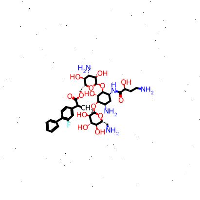 CC(C(=O)OC[C@H]1O[C@H](O[C@@H]2[C@@H](O)[C@H](O[C@H]3O[C@H](CN)[C@@H](O)[C@H](O)[C@H]3O)[C@@H](N)C[C@H]2NC(=O)[C@@H](O)CCN)[C@H](O)[C@@H](N)[C@@H]1O)c1ccc(-c2ccccc2)c(F)c1